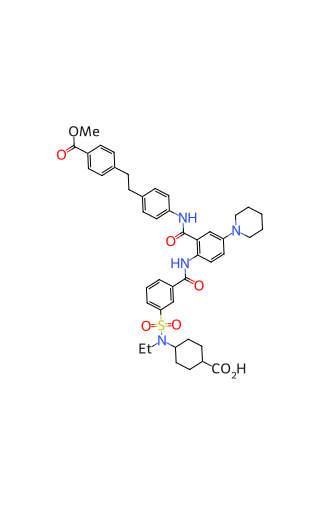 CCN(C1CCC(C(=O)O)CC1)S(=O)(=O)c1cccc(C(=O)Nc2ccc(N3CCCCC3)cc2C(=O)Nc2ccc(CCc3ccc(C(=O)OC)cc3)cc2)c1